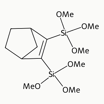 CO[Si](OC)(OC)C1=C([Si](OC)(OC)OC)C2CCC1C2